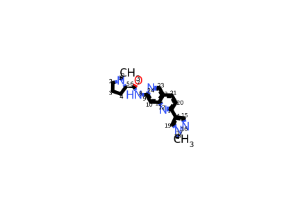 CN1CCC[C@@H]1C(=O)Nc1cc2nc(-c3cnn(C)c3)ccc2cn1